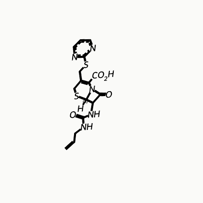 C=CCNC(=O)NC1C(=O)N2C(C(=O)O)=C(CSc3ncccn3)CS[C@@H]12